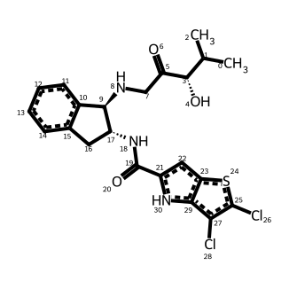 CC(C)[C@H](O)C(=O)CN[C@@H]1c2ccccc2C[C@H]1NC(=O)c1cc2sc(Cl)c(Cl)c2[nH]1